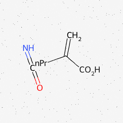 C=C(CCC)C(=O)O.N=C=O